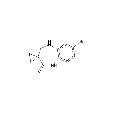 C=C1Nc2ccc(Br)cc2NCC12CC2